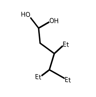 CCC(CC)C(CC)CC(O)O